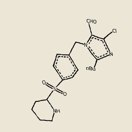 CCCCc1nc(Cl)c(C=O)n1Cc1ccc(S(=O)(=O)C2CCCCN2)cc1